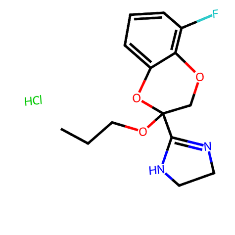 CCCOC1(C2=NCCN2)COc2c(F)cccc2O1.Cl